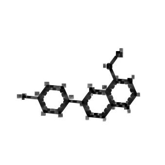 CCOc1ncnc2ccc(-c3ccc(F)cc3)nc12